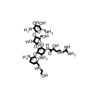 N=C(N)NCC[C@H](O)C(=O)N[C@@H]1C[C@H](N)[C@@H](O[C@H]2OC(CNCCO)=CC[C@H]2N)[C@H](O[C@@H]2O[C@H](CO)[C@@H](O[C@H]3O[C@@H](CN)[C@@H](O)[C@H](O)[C@H]3N)[C@H]2O)[C@H]1O